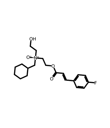 O=C(/C=C/c1ccc(F)cc1)OCC[N@@+]([O-])(CCO)CC1CCCCC1